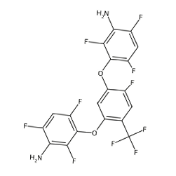 Nc1c(F)cc(F)c(Oc2cc(Oc3c(F)cc(F)c(N)c3F)c(C(F)(F)F)cc2F)c1F